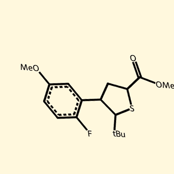 COC(=O)C1CC(c2cc(OC)ccc2F)C(C(C)(C)C)S1